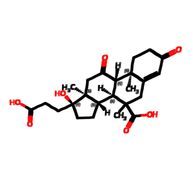 CC1(C(=O)O)CC2=CC(=O)CC[C@]2(C)[C@H]2C(=O)C[C@@]3(C)[C@@H](CC[C@]3(O)CCC(=O)O)[C@@H]21